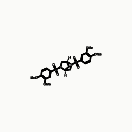 COc1ccc(S(=O)(=O)N2C[C@@H]3C[C@H]2CN3S(=O)(=O)c2ccc(OC)c(OC)c2)cc1OC